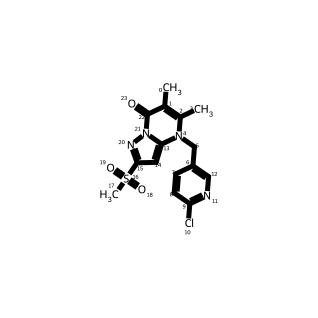 Cc1c(C)n(Cc2ccc(Cl)nc2)c2cc(S(C)(=O)=O)nn2c1=O